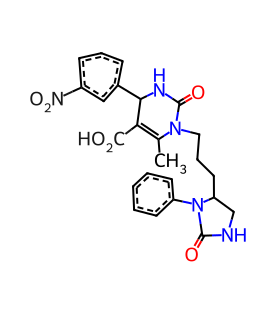 CC1=C(C(=O)O)C(c2cccc([N+](=O)[O-])c2)NC(=O)N1CCCC1CNC(=O)N1c1ccccc1